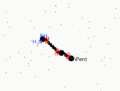 CCCCCc1ccc(OC(=O)/C=C/c2ccc(C(=O)OCCCCCCCCOC(=O)c3cc(N)cc(N)c3)cc2)cc1